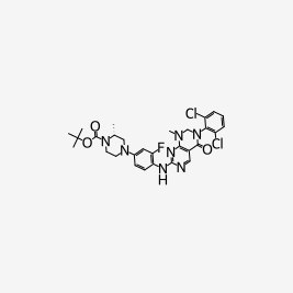 C[C@@H]1CN(c2ccc(Nc3ncc4c(n3)N(C)CN(c3c(Cl)cccc3Cl)C4=O)c(F)c2)CCN1C(=O)OC(C)(C)C